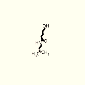 CN(C)CCNC(=O)CCCCO